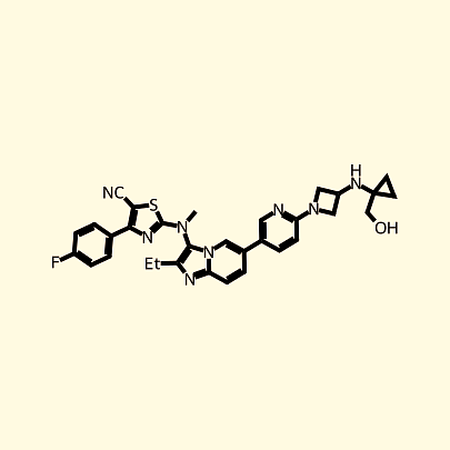 CCc1nc2ccc(-c3ccc(N4CC(NC5(CO)CC5)C4)nc3)cn2c1N(C)c1nc(-c2ccc(F)cc2)c(C#N)s1